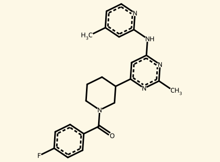 Cc1ccnc(Nc2cc(C3CCCN(C(=O)c4ccc(F)cc4)C3)nc(C)n2)c1